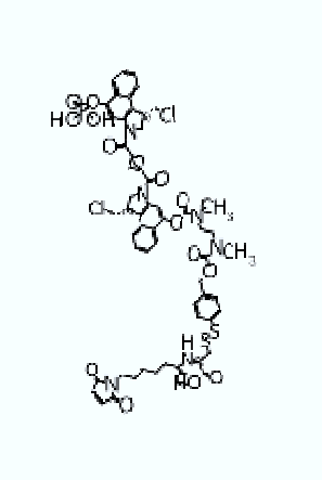 CN(CCN(C)C(=O)Oc1cc2c(c3ccccc13)[C@H](CCl)CN2C(=O)C12CC(C(=O)N3C[C@@H](CCl)c4c3cc(OP(=O)(O)O)c3ccccc43)(C1)C2)C(=O)OCc1ccc(SSC[C@H](NC(=O)CCCCCN2C(=O)C=CC2=O)C(=O)O)cc1